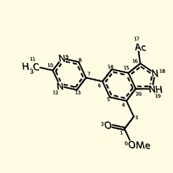 COC(=O)Cc1cc(-c2cnc(C)nc2)cc2c(C(C)=O)n[nH]c12